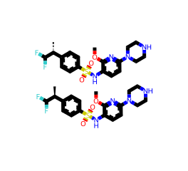 COc1nc(N2CCNCC2)ccc1NS(=O)(=O)c1ccc([C@@H](C)C(F)F)cc1.COc1nc(N2CCNCC2)ccc1NS(=O)(=O)c1ccc([C@H](C)C(F)F)cc1